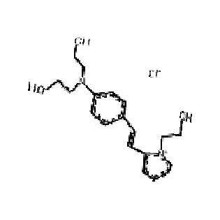 OCCN(CCO)c1ccc(/C=C/c2cccc[n+]2CCO)cc1.[Cl-]